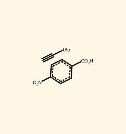 C#CC(C)(C)C.O=C(O)c1ccc([N+](=O)[O-])cc1